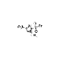 CCS(=O)(=O)c1nc([N+](=O)[O-])cn1C